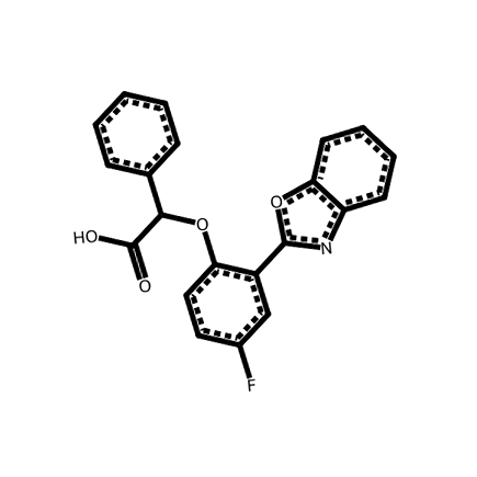 O=C(O)C(Oc1ccc(F)cc1-c1nc2ccccc2o1)c1ccccc1